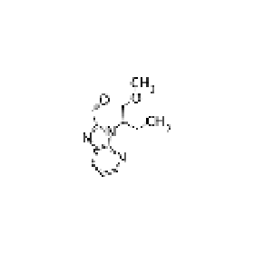 CCC(COC)n1c(C=O)nc2cccnc21